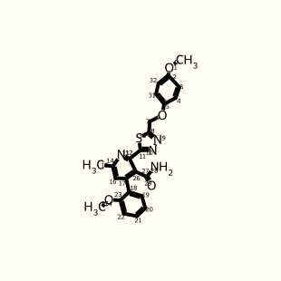 COc1ccc(OCc2nnc(-c3nc(C)cc(-c4ccccc4OC)c3C(N)=O)s2)cc1